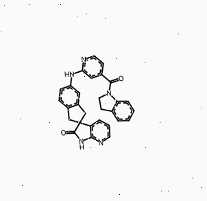 O=C(c1ccnc(Nc2ccc3c(c2)CC2(C3)C(=O)Nc3ncccc32)c1)N1CCc2ccccc21